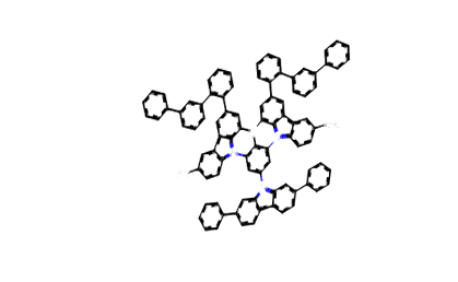 CC(C)(C)c1ccc2c(c1)c1cc(-c3ccccc3-c3cccc(-c4ccccc4)c3)cc3c1n2-c1cc(-n2c4cc(-c5ccccc5)ccc4c4ccc(-c5ccccc5)cc42)cc2c1B3c1cc(-c3ccccc3-c3cccc(-c4ccccc4)c3)cc3c4cc(C(C)(C)C)ccc4n-2c13